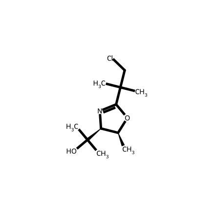 C[C@@H]1OC(C(C)(C)CCl)=N[C@@H]1C(C)(C)O